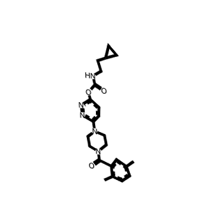 Cc1ccc(C)c(C(=O)N2CCN(c3ccc(OC(=O)NCCC4CC4)nn3)CC2)c1